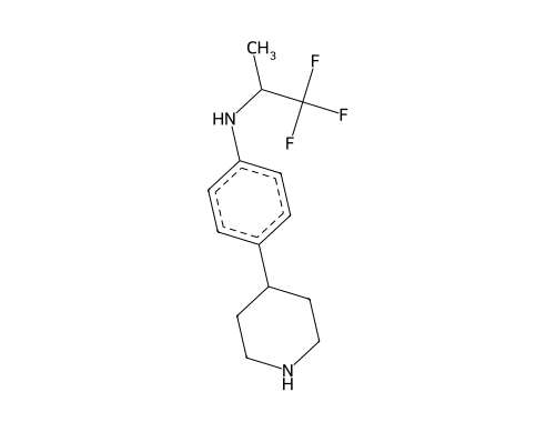 CC(Nc1ccc(C2CCNCC2)cc1)C(F)(F)F